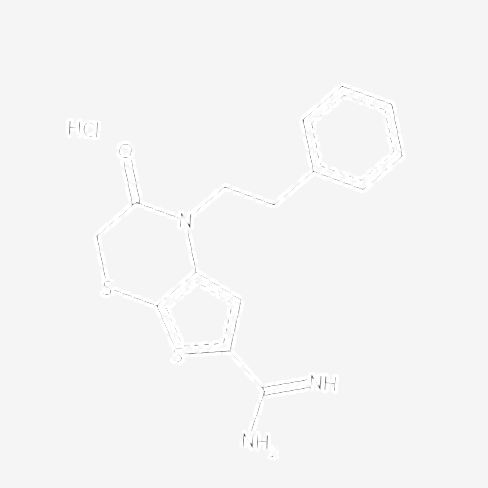 Cl.N=C(N)c1cc2c(s1)SCC(=O)N2CCc1ccccc1